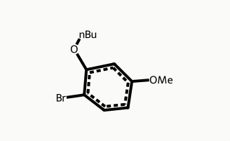 CCCCOc1cc(OC)ccc1Br